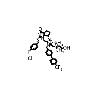 C[N+](C)(CCO)Cc1nnc(Cn2c(SCc3ccc(F)cc3)nc(=O)c3c2CCC3)n1Cc1ccc(-c2ccc(C(F)(F)F)cc2)cc1.[Cl-]